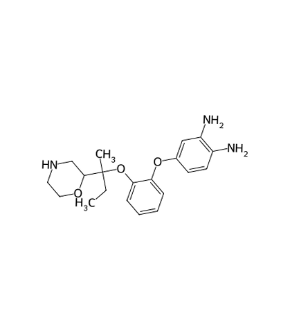 CCC(C)(Oc1ccccc1Oc1ccc(N)c(N)c1)C1CNCCO1